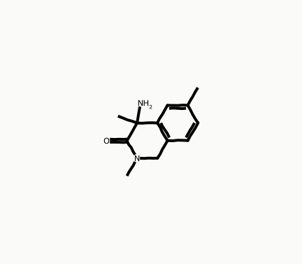 Cc1ccc2c(c1)C(C)(N)C(=O)N(C)C2